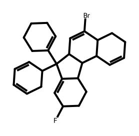 FC1C=C2C(CC1)C1C3C=CCCC3C(Br)=CC1C2(C1=CCCCC1)C1C=CC=CC1